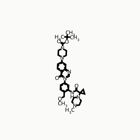 COCc1ccc(-n2cnc3cc(N4CCN(C(=O)OC(C)(C)C)CC4)ccc3c2=O)cc1NC(=O)C1(N2CCN(C)CC2)CC1